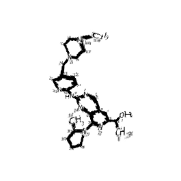 CC(O)c1cc2cnc(Nc3ccc(CN4CCN(C)CC4)cn3)nc2c(N2CCC[C@H]2C)n1